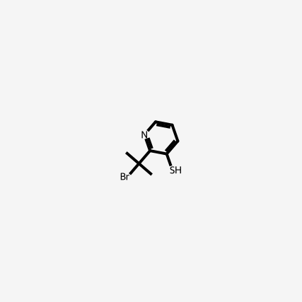 CC(C)(Br)c1ncccc1S